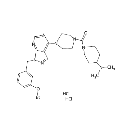 CCOc1cccc(Cn2ncc3c(N4CCN(C(=O)N5CCC(N(C)C)CC5)CC4)ncnc32)c1.Cl.Cl